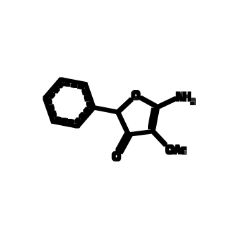 CC(=O)OC1=C(N)OC(c2ccccc2)C1=O